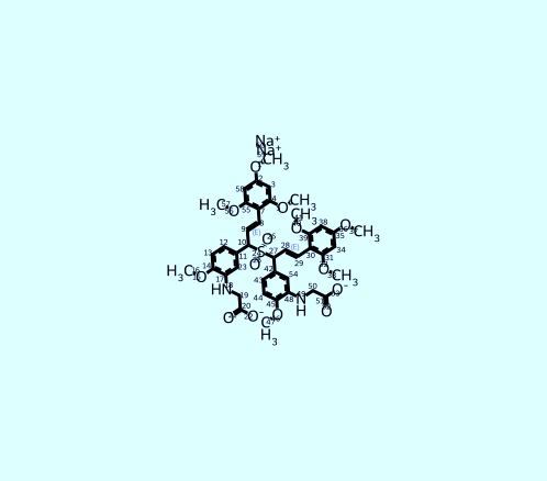 COc1cc(OC)c(/C=C/C(c2ccc(OC)c(NCC(=O)[O-])c2)S(=O)(=O)C(/C=C/c2c(OC)cc(OC)cc2OC)c2ccc(OC)c(NCC(=O)[O-])c2)c(OC)c1.[Na+].[Na+]